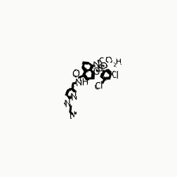 CN(C)CCN(C)c1ccc(CNC(=O)c2cccc3c(N(CC(=O)O)S(=O)(=O)c4cc(Cl)cc(Cl)c4)cccc23)cn1